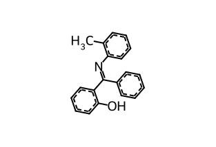 Cc1ccccc1/N=C(\c1ccccc1)c1ccccc1O